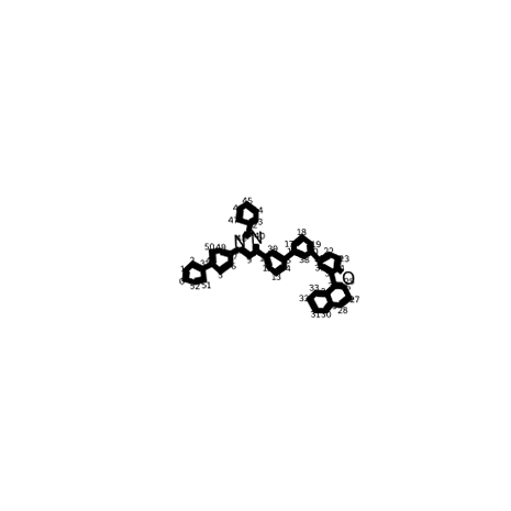 c1ccc(-c2ccc(-c3cc(-c4cccc(-c5cccc(-c6ccc7oc8ccc9ccccc9c8c7c6)c5)c4)nc(-c4ccccc4)n3)cc2)cc1